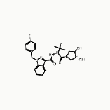 CC(C)(C)[C@H](NC(=O)c1nn(Cc2ccc(F)cc2)c2ccccc12)C(=O)N1CC(O)[C@H](O)C1